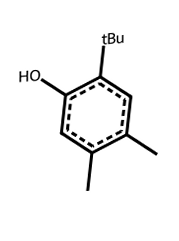 Cc1cc(O)c(C(C)(C)C)cc1C